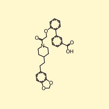 O=C(O)c1cccc(-c2ccccc2OCC(=O)N2CCC(CCc3ccc4c(c3)OCO4)CC2)c1